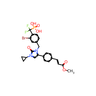 COC(=O)/C=C/c1ccc(-c2cn(C3CC3)c(=O)n2Cc2ccc(C(F)(F)P(=O)(O)O)c(Br)c2)cc1